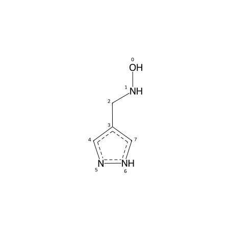 ONCc1cn[nH]c1